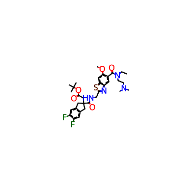 CCN(CCN(C)C)C(=O)c1cc2nc(CNC(=O)C3(CC(=O)OC(C)(C)C)Cc4cc(F)c(F)cc4C3)sc2cc1OC